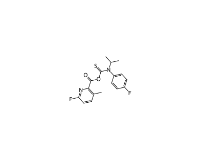 Cc1ccc(F)nc1C(=O)OC(=S)N(c1ccc(F)cc1)C(C)C